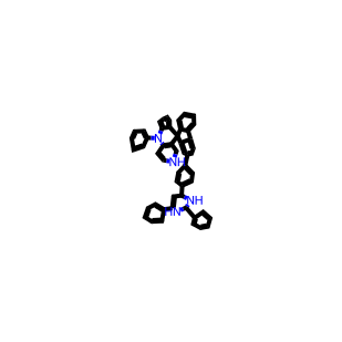 C1=CC2=C(CN1)C1(c3ccccc3-c3ccc(-c4ccc(C5C=C(c6ccccc6)NC(c6ccccc6)N5)cc4)cc31)c1ccccc1N2c1ccccc1